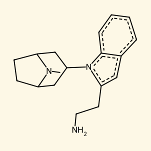 CN1C2CCC1CC(n1c(CCN)cc3ccccc31)C2